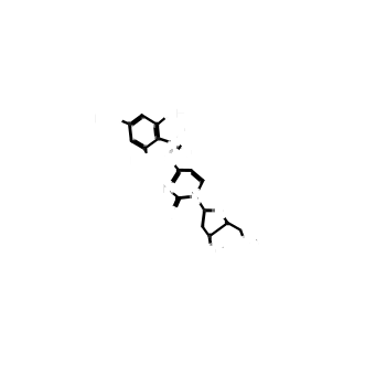 CC(=O)OCC1OC(n2ccc(OS(=O)(=O)c3c(C)cc(C)cc3C)nc2=O)CC1OC(C)=O